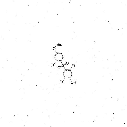 CCCCOc1ccc(S(=O)(=O)c2cc(CC)c(O)cc2CC)c(CC)c1